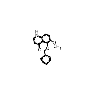 COc1ccc2[nH]ccc(=O)c2c1OCc1ccccc1